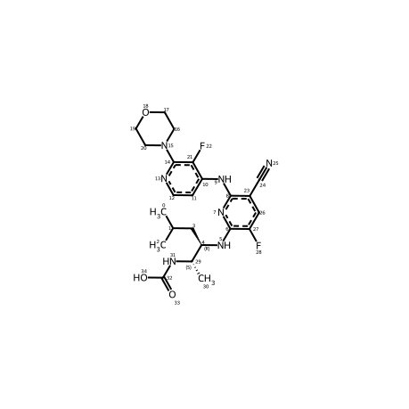 CC(C)C[C@@H](Nc1nc(Nc2ccnc(N3CCOCC3)c2F)c(C#N)cc1F)[C@H](C)NC(=O)O